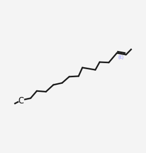 C/C=C/CCCCCCCCCCCCC